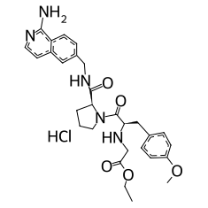 CCOC(=O)CN[C@H](Cc1ccc(OC)cc1)C(=O)N1CCC[C@H]1C(=O)NCc1ccc2c(N)nccc2c1.Cl